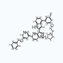 Fc1cc(OCCN2CCCC2)cc(-c2cccc3[nH]c(-c4n[nH]c5ccc(-c6cncc(OCc7ccccc7)c6)nc45)cc23)c1